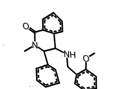 COc1ccccc1CNC1c2ccccc2C(=O)N(C)C1c1ccccc1